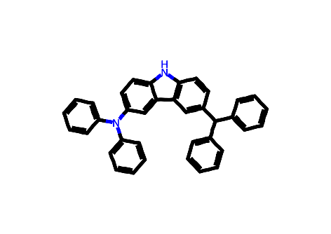 c1ccc(C(c2ccccc2)c2ccc3[nH]c4ccc(N(c5ccccc5)c5ccccc5)cc4c3c2)cc1